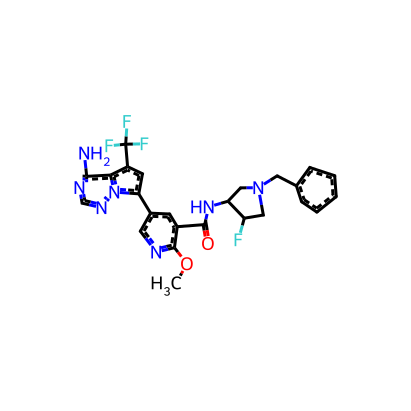 COc1ncc(-c2cc(C(F)(F)F)c3c(N)ncnn23)cc1C(=O)NC1CN(Cc2ccccc2)CC1F